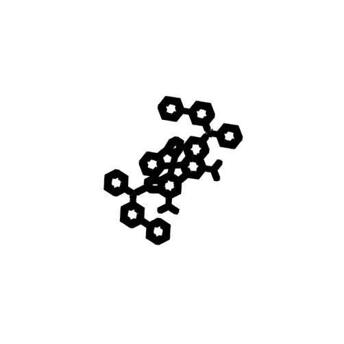 CC(C)c1cc2c(c3ccc(N(c4ccccc4)c4cccc(-c5ccccc5)c4)cc13)C1(c3ccccc3-c3ccccc31)c1c-2cc(C(C)C)c2cc(N(c3ccccc3)c3cccc(-c4ccccc4)c3)ccc12